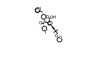 CC(C)(C#Cc1cc(N(C(=O)[C@H]2CC[C@H](C)CC2)[C@H]2CC[C@H](Cc3ccccn3)CC2)c(C(=O)O)s1)COC1CCCCO1